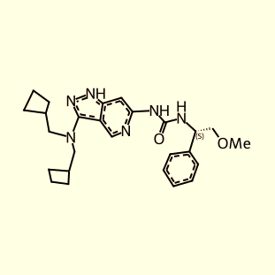 COC[C@@H](NC(=O)Nc1cc2[nH]nc(N(CC3CCC3)CC3CCC3)c2cn1)c1ccccc1